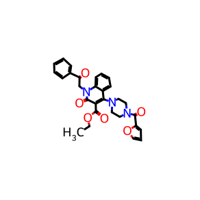 CCOC(=O)c1c(N2CCN(C(=O)c3ccco3)CC2)c2ccccc2n(CC(=O)c2ccccc2)c1=O